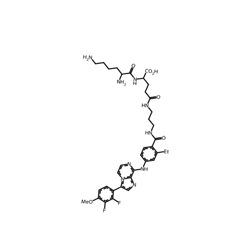 CCc1cc(Nc2nccn3c(-c4ccc(OC)c(F)c4F)cnc23)ccc1C(=O)NCCCNC(=O)CCC(NC(=O)C(N)CCCCN)C(=O)O